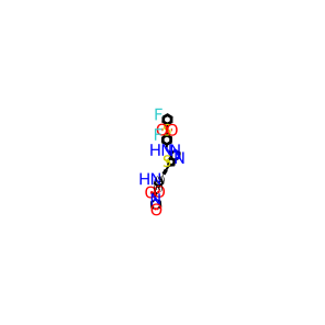 O=C(O[C@H]1CN[C@H](C#Cc2cc3ncnc(Nc4ccc(S(=O)(=O)c5cccc(F)c5)c(F)c4)c3s2)C1)N1CCOCC1